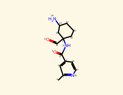 Cc1cc(C(=O)NC2(C=O)CCCC(N)C2)ccn1